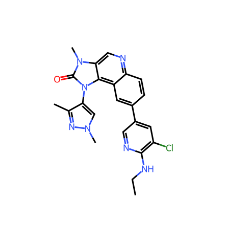 CCNc1ncc(-c2ccc3ncc4c(c3c2)n(-c2cn(C)nc2C)c(=O)n4C)cc1Cl